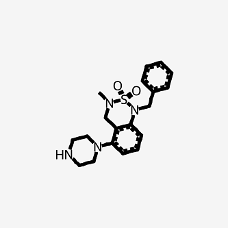 CN1Cc2c(N3CCNCC3)cccc2N(Cc2ccccc2)S1(=O)=O